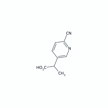 CC(C(=O)O)c1ccc(C#N)nc1